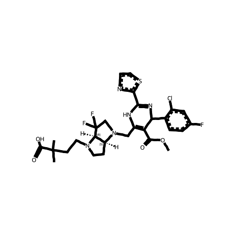 COC(=O)C1=C(CN2CC(F)(F)[C@H]3[C@@H]2CCN3CCC(C)(C)C(=O)O)NC(c2nccs2)=NC1c1ccc(F)cc1Cl